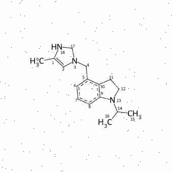 CC1=CN(Cc2cccc3c2CCN3C(C)C)CN1